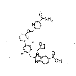 NC(=O)c1ccc(COc2cccc(-c3cc(F)c(Cc4nc5ccc(C(=O)O)cc5n4C[C@@H]4CCO4)cc3F)n2)nc1